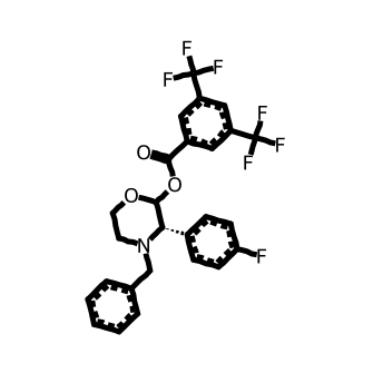 O=C(OC1OCCN(Cc2ccccc2)[C@H]1c1ccc(F)cc1)c1cc(C(F)(F)F)cc(C(F)(F)F)c1